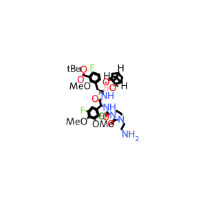 COc1c(F)cc(C(NC(=O)N2CCN(CCN)C2=O)C(=O)N[C@@H](Cc2ccc(F)c(C(=O)OC(C)(C)C)c2OC)B2O[C@@H]3C[C@@H]4C[C@@H](C4(C)C)[C@]3(C)O2)c(Cl)c1OC